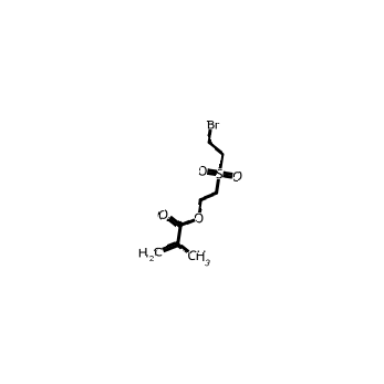 C=C(C)C(=O)OCCS(=O)(=O)CCBr